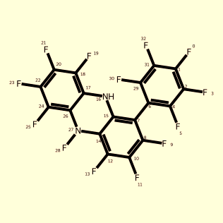 Fc1c(F)c(F)c(-c2c(F)c(F)c(F)c3c2Nc2c(F)c(F)c(F)c(F)c2N3F)c(F)c1F